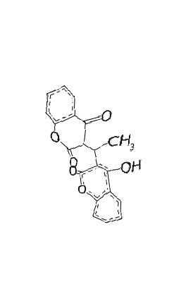 CC(c1c(O)c2ccccc2oc1=O)C1C(=O)Oc2ccccc2C1=O